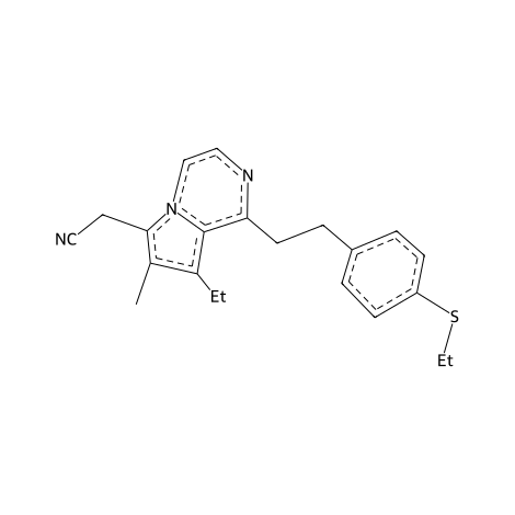 CCSc1ccc(CCc2nccn3c(CC#N)c(C)c(CC)c23)cc1